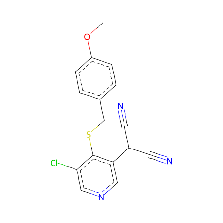 COc1ccc(CSc2c(Cl)cncc2C(C#N)C#N)cc1